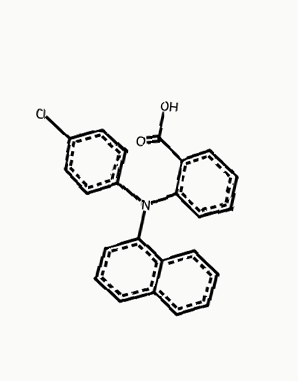 O=C(O)c1ccccc1N(c1ccc(Cl)cc1)c1cccc2ccccc12